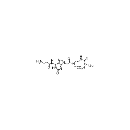 CC(C)(C)OC(=O)NCCN(CC(=O)O)C(=O)Cn1cnc2c(NC(=O)CCN)[nH]c(=O)nc21